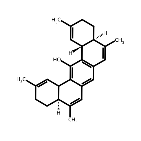 CC1=CC2c3c(cc4c(c3O)[C@@H]3C=C(C)CC[C@H]3C(C)=C4)C=C(C)[C@H]2CC1